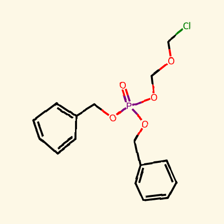 O=P(OCOCCl)(OCc1ccccc1)OCc1ccccc1